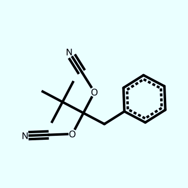 CC(C)(C)C(Cc1ccccc1)(OC#N)OC#N